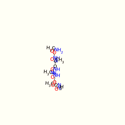 COc1cc2c(cc1OCCCC(=O)Nc1cn(C)c(C(=O)Nc3ccc(-c4cc(C(=O)NCCCOC(=O)C(C)N)n(C)c4)cc3)n1)N=C[C@@H]1CCCN1C2=O